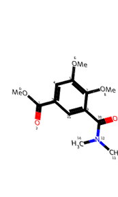 COC(=O)c1cc(OC)c(OC)c(C(=O)N(C)C)c1